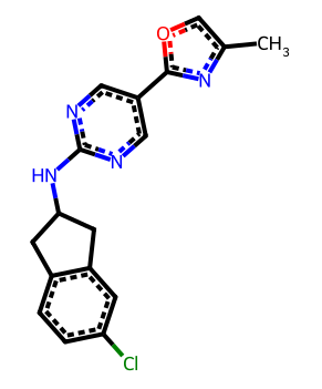 Cc1coc(-c2cnc(NC3Cc4ccc(Cl)cc4C3)nc2)n1